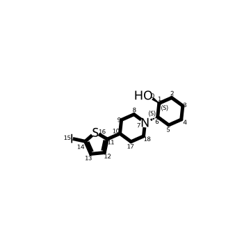 O[C@H]1CCCC[C@@H]1N1CCC(c2ccc(I)s2)CC1